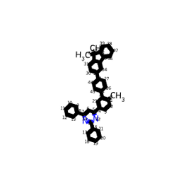 Cc1ccc(-c2cc(-c3ccccc3)nc(-c3ccccc3)n2)cc1-c1ccc(-c2ccc3c(c2)-c2ccccc2C3(C)C)cc1